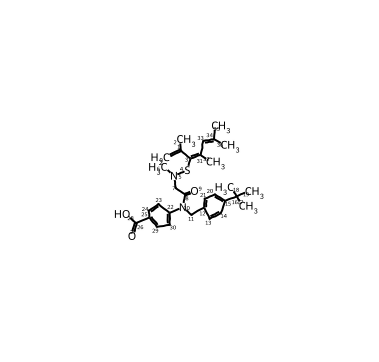 C=C(C)/C(SN(C)CC(=O)N(Cc1ccc(C(C)(C)C)cc1)c1ccc(C(=O)O)cc1)=C(/C)C=C(C)C